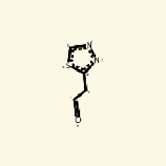 O=CCc1nncs1